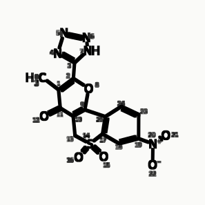 Cc1c(-c2nnn[nH]2)oc2c(c1=O)CS(=O)(=O)c1cc([N+](=O)[O-])ccc1-2